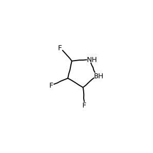 FC1BNC(F)C1F